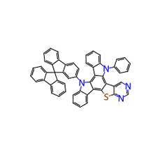 c1ccc(-n2c3ccccc3c3c4c(c5ccccc5n4-c4ccc5c(c4)C4(c6ccccc6-c6ccccc64)c4ccccc4-5)c4sc5ncncc5c4c32)cc1